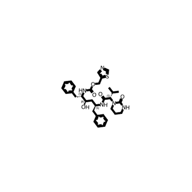 CC(C)[C@@H](C(=O)N[C@@H](Cc1ccccc1)C[C@@H](O)[C@H](Cc1ccccc1)NC(=O)OCc1cncs1)N1CCCNC1=O